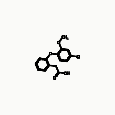 COc1cc(Cl)ccc1Oc1ccccc1CC(=O)O